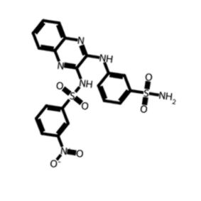 NS(=O)(=O)c1cccc(Nc2nc3ccccc3nc2NS(=O)(=O)c2cccc([N+](=O)[O-])c2)c1